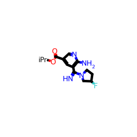 CC(C)OC(=O)c1cnc(N)c(C(=N)N2CCC(F)C2)c1